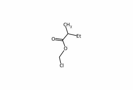 CCC(C)C(=O)OCCl